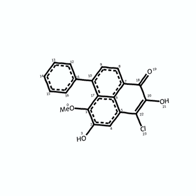 COc1c(O)cc2c3c(ccc(-c4ccccc4)c13)C(=O)C(O)=C2Cl